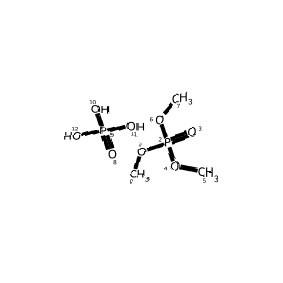 COP(=O)(OC)OC.O=P(O)(O)O